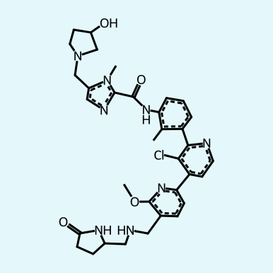 COc1nc(-c2ccnc(-c3cccc(NC(=O)c4ncc(CN5CCC(O)C5)n4C)c3C)c2Cl)ccc1CNCC1CCC(=O)N1